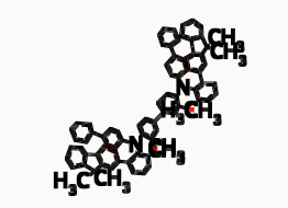 Cc1cc(-c2ccc(N(c3ccc(-c4ccccc4)cc3)c3c(C)cccc3-c3ccc4c(c3)C(C)(C)c3ccccc3-4)c(C)c2)ccc1N(c1ccc(-c2ccccc2)cc1)c1c(C)cccc1-c1ccc2c(c1)C(C)(C)c1ccccc1-2